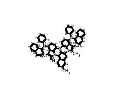 Cc1ccc2c3c4c(cc2c1)-n1c(C)c(C)c2c(N(c5ccccc5)c5cccc6ccccc56)ccc(c21)B4c1ccc(N(c2ccccc2)c2cccc4ccccc24)c2c(C)c(C)n-3c12